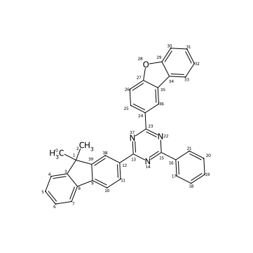 CC1(C)c2ccccc2-c2ccc(-c3nc(-c4ccccc4)nc(-c4ccc5oc6ccccc6c5c4)n3)cc21